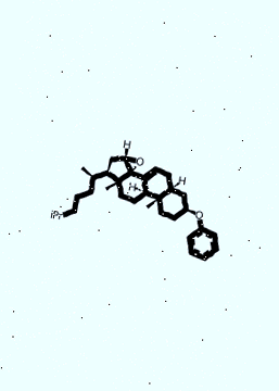 CC(C)CCC[C@@H](C)[C@H]1C[C@@H]2O[C@@]23C2=CC[C@H]4C[C@@H](Oc5ccccc5)CC[C@]4(C)[C@H]2CC[C@]13C